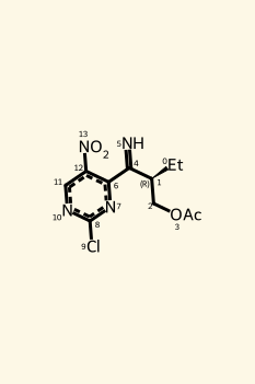 CC[C@@H](COC(C)=O)C(=N)c1nc(Cl)ncc1[N+](=O)[O-]